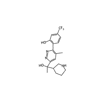 Cc1cc(C(C)(O)C2CCCNC2)nnc1-c1ccc(C(F)(F)F)cc1O